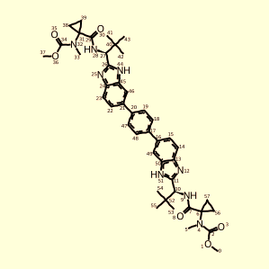 COC(=O)N(C)C1(C(=O)N[C@H](c2nc3ccc(-c4ccc(-c5ccc6nc([C@@H](NC(=O)C7(N(C)C(=O)OC)CC7)C(C)(C)C)[nH]c6c5)cc4)cc3[nH]2)C(C)(C)C)CC1